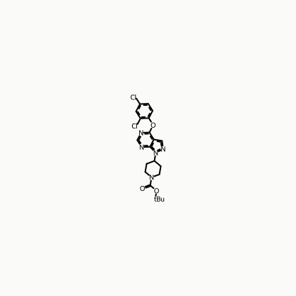 CC(C)(C)OC(=O)N1CCC(n2ncc3c(Oc4ccc(Cl)cc4Cl)ncnc32)CC1